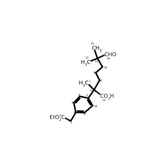 CCOC(=O)Cc1ccc(C(C)(CCCC(C)(C)C=O)C(=O)O)cc1